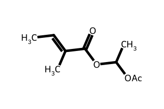 C/C=C(\C)C(=O)OC(C)OC(C)=O